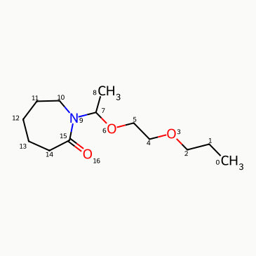 CCCOCCOC(C)N1CCCCCC1=O